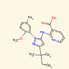 CCC(C)(C)c1cc(Nc2ncccc2C(=O)O)n(-c2cc(C)ccc2OC)n1